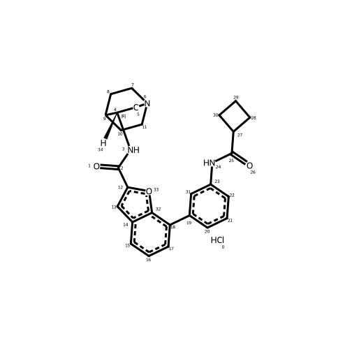 Cl.O=C(N[C@H]1CN2CCC1CC2)c1cc2cccc(-c3cccc(NC(=O)C4CCC4)c3)c2o1